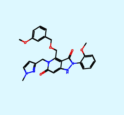 COc1cccc(COCc2c3c(=O)n(-c4ccccc4OC)[nH]c3cc(=O)n2Cc2ccn(C)n2)c1